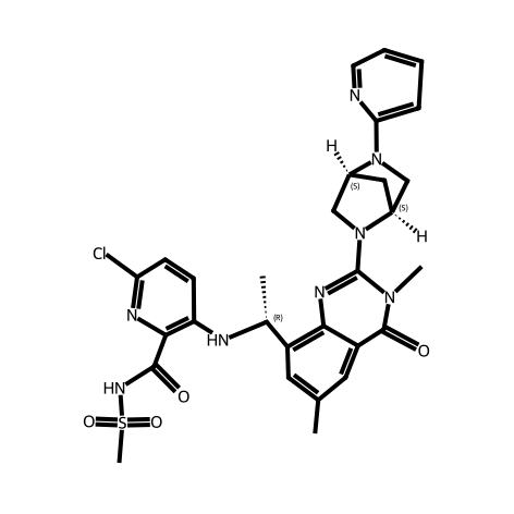 Cc1cc([C@@H](C)Nc2ccc(Cl)nc2C(=O)NS(C)(=O)=O)c2nc(N3C[C@@H]4C[C@H]3CN4c3ccccn3)n(C)c(=O)c2c1